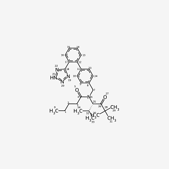 CCCCC(=O)N(Cc1ccc(-c2ccccc2-c2nn[nH]n2)cc1)[C@H](C(=O)C(C)(C)C)C(C)C